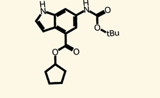 CC(C)(C)OC(=O)Nc1cc(C(=O)OC2CCCC2)c2cc[nH]c2c1